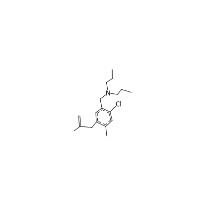 C=C(C)Cc1cc(CN(CCC)CCC)c(Cl)cc1C